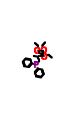 CCO[Si](OCC)(OCC)C(C)CP(c1ccccc1)c1ccccc1